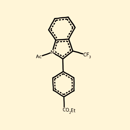 CCOC(=O)c1ccc(-c2c(C(F)(F)F)c3ccccc3n2C(C)=O)cc1